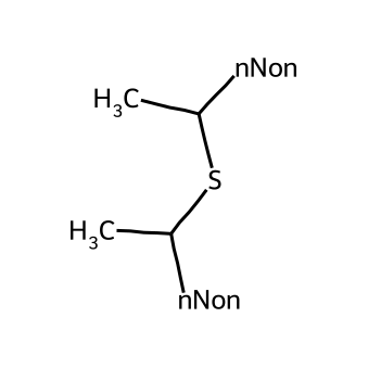 CCCCCCCCCC(C)SC(C)CCCCCCCCC